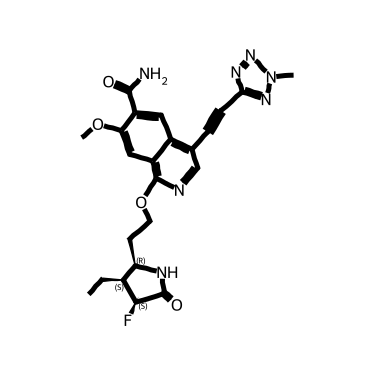 CC[C@@H]1[C@H](F)C(=O)N[C@@H]1CCOc1ncc(C#Cc2nnn(C)n2)c2cc(C(N)=O)c(OC)cc12